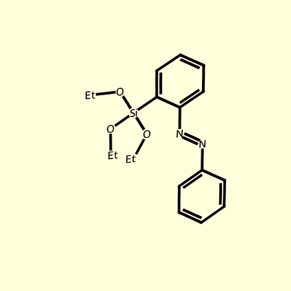 CCO[Si](OCC)(OCC)c1ccccc1N=Nc1ccccc1